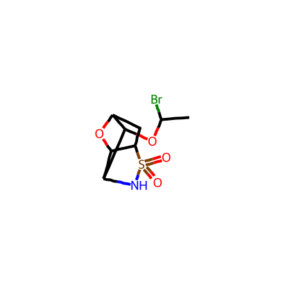 CC(Br)OC1C2CC3C(O2)C1NS3(=O)=O